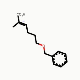 C/C(=C\CCCOCc1ccccc1)C(=O)O